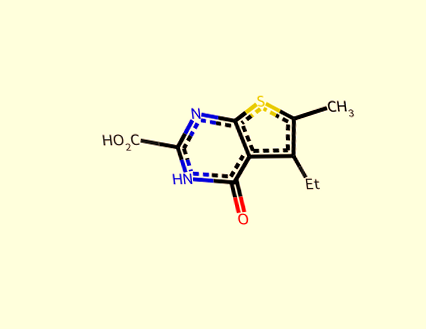 CCc1c(C)sc2nc(C(=O)O)[nH]c(=O)c12